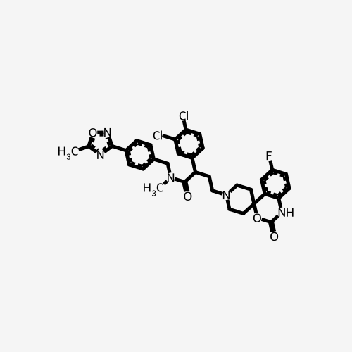 Cc1nc(-c2ccc(CN(C)C(=O)C(CCN3CCC4(CC3)OC(=O)Nc3ccc(F)cc34)c3ccc(Cl)c(Cl)c3)cc2)no1